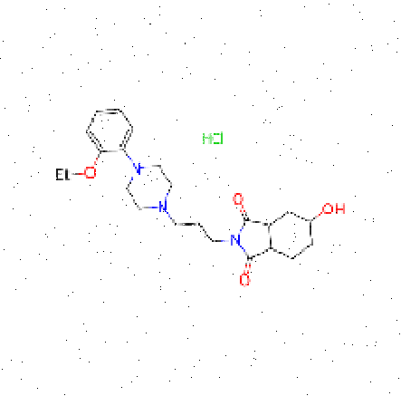 CCOc1ccccc1N1CCN(CCCN2C(=O)C3CCC(O)CC3C2=O)CC1.Cl